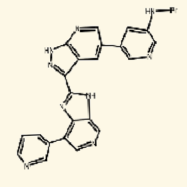 CC(C)Nc1cncc(-c2cnc3[nH]nc(-c4nc5c(-c6cccnc6)cncc5[nH]4)c3c2)c1